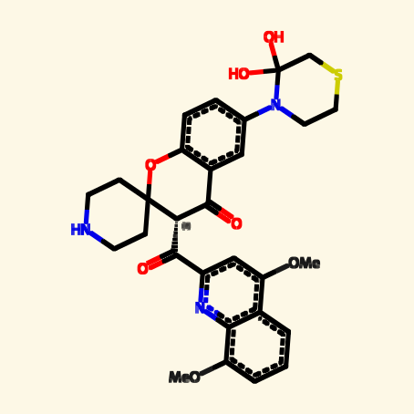 COc1cc(C(=O)[C@H]2C(=O)c3cc(N4CCSCC4(O)O)ccc3OC23CCNCC3)nc2c(OC)cccc12